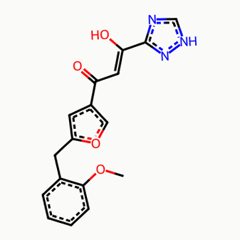 COc1ccccc1Cc1cc(C(=O)C=C(O)c2nc[nH]n2)co1